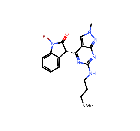 CNCCCNc1nc([C@H]2C(=O)N(Br)c3ccccc32)c2cn(C)nc2n1